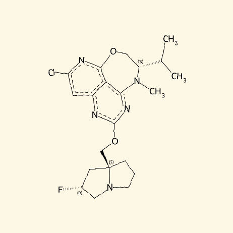 CC(C)[C@H]1COc2nc(Cl)cc3nc(OC[C@@]45CCCN4C[C@H](F)C5)nc(c23)N1C